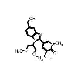 COCC(COC)n1c(-c2cc(C)c(=O)n(C)c2)nc2cc(CO)ccc21